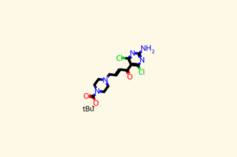 CC(C)(C)OC(=O)N1CCN(CC=CC(=O)c2c(Cl)nc(N)nc2Cl)CC1